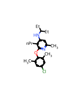 CCCc1c(NC(CC)CC)cc(C)nc1Oc1c(C)cc(Cl)cc1C